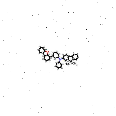 CC1(C)c2ccccc2-c2ccc(N(c3ccccc3)C3C=CC=C(c4cccc5c4oc4ccccc45)C3)cc21